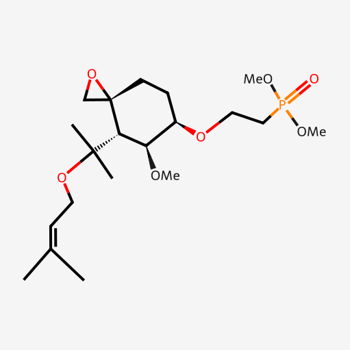 CO[C@H]1[C@H](C(C)(C)OCC=C(C)C)[C@]2(CC[C@H]1OCCP(=O)(OC)OC)CO2